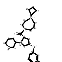 O=C([C@H]1C[C@H](Oc2cccc(F)c2)CN1C1CCCOC1)N1CCCN(C2CCC2)CC1